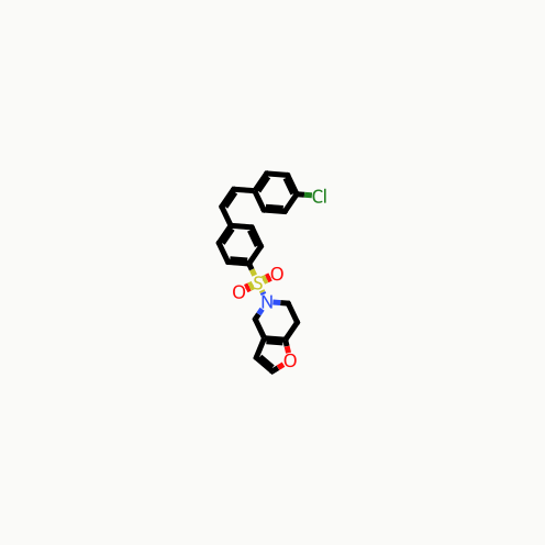 O=S(=O)(c1ccc(/C=C\c2ccc(Cl)cc2)cc1)N1CCc2occc2C1